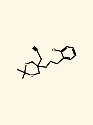 C#CCC1(CCCc2ccccc2Cl)COC(C)(C)OC1